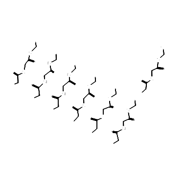 O=C([O-])CNC(=O)CNC(=O)CS.O=C([O-])CNC(=O)CNC(=O)CS.O=C([O-])CNC(=O)CNC(=O)CS.O=C([O-])CNC(=O)CNC(=O)CS.O=C([O-])CNC(=O)CNC(=O)CS.O=C([O-])CNC(=O)CNC(=O)CS.O=C([O-])CNC(=O)CNC(=O)CS.[Tc+7]